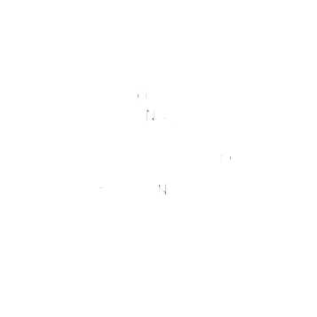 CC(C)(C)c1ccc([N+](=O)[O-])cc1C1CCCCN1/C=C/C=O